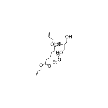 C=CCOC(=O)CCCCC(=O)OCC=C.CCOCC.OCC(O)CO